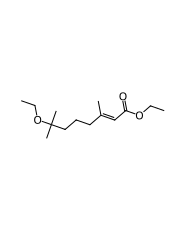 CCOC(=O)/C=C(\C)CCCC(C)(C)OCC